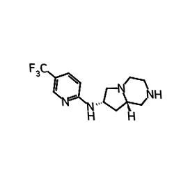 FC(F)(F)c1ccc(N[C@H]2C[C@H]3CNCCN3C2)nc1